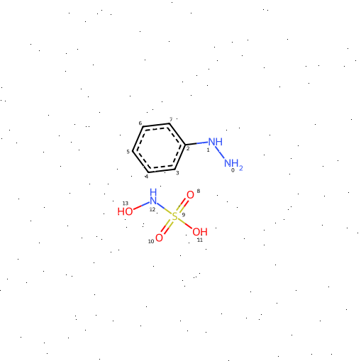 NNc1ccccc1.O=S(=O)(O)NO